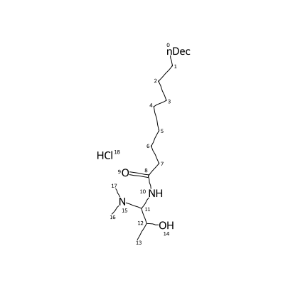 CCCCCCCCCCCCCCCCCC(=O)NC(C(C)O)N(C)C.Cl